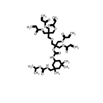 C=CC(=O)OCC(COCC(COC(=O)C=C)(COC(=O)C=C)OC(=O)NC1CC(C)(C)CC(C)(CNC(=O)OC(C)C)C1)(COC(=O)C=C)COC(=O)C=C